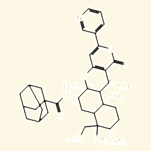 CC(=O)OCC1(C)C2C[C@H](OC(=O)C34CC5CC(CC(C5)C3)C4)[C@@]3(C)Oc4cc(-c5cccnc5)oc(=O)c4[C@H](O)C3[C@@]2(C)CC[C@@H]1OC(C)=O